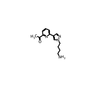 CC(=O)c1cccc(-c2cnn(CCCCN)c2)n1